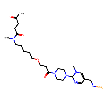 CCCN(CCCCCOCCC(=O)N1CCN(C2N=CC(CNP)=CN2C)CC1)C(=O)CCC(=O)NC